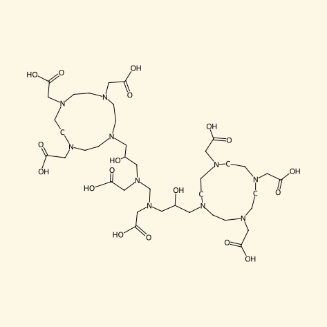 O=C(O)CN1CCN(CC(=O)O)CCN(CC(O)CN(CC(=O)O)CN(CC(=O)O)CC(O)CN2CCN(CC(=O)O)CCN(CC(=O)O)CCN(CC(=O)O)CC2)CCN(CC(=O)O)CC1